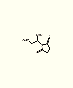 O=[C]CC([C]=O)N1C(=O)CCC1=O